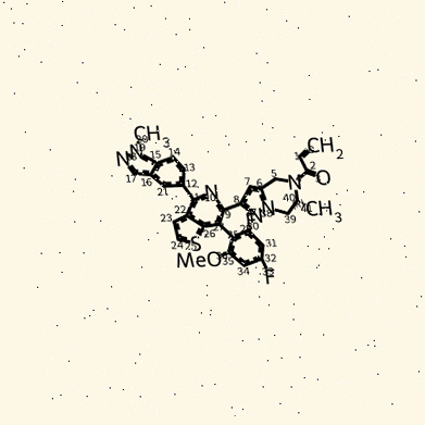 C=CC(=O)N1Cc2cc(-c3nc(-c4ccc5c(cnn5C)c4)c4ccsc4c3-c3c(F)cc(F)cc3OC)nn2C[C@H]1C